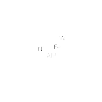 [AlH3].[Fe].[Ni].[W]